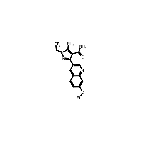 CCOc1ccc2cc(-c3nn(CC(F)(F)F)c(N)c3C(N)=O)cnc2c1